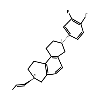 CC=C[C@H]1CCc2c(ccc3c2CC[C@H](c2ccc(F)c(F)c2)C3)C1